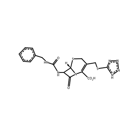 O=C(NCc1ccccc1)NC1C(=O)N2C(C(=O)O)=C(CSc3nnn[nH]3)CS[C@@H]12